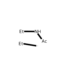 CCNC(C)=O.[CH2]CC